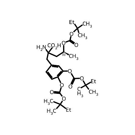 CCC(C)(C)OC(=O)Oc1ccc(CC(N)(C[C@H](C)OC(=O)OC(C)(C)CC)C(=O)O)cc1OC(=O)OC(C)(C)CC